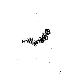 Cc1ccc2cccc(OCc3c(Cl)ccc(S(=O)(=O)N4CCC[C@H]4C(=O)N4CCN(C(=O)COc5ccc(C(=N)N)cc5)CC4)c3Cl)c2n1